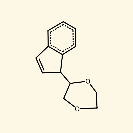 C1=CC(C2COCCO2)c2ccccc21